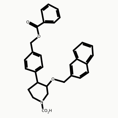 O=C(OCc1ccc(C2CCN(C(=O)O)CC2OCc2ccc3ccccc3c2)cc1)c1ccccc1